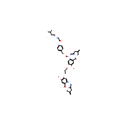 C=C1C[C@H]2C=Nc3cc(OCCCOc4cc5c(cc4OC)C(=O)N4CC(=C)C[C@H]4[C@H](O)N5C(=O)OCc4ccc(NC(=O)[C@H](C)NC(=O)C(N)C(C)C)cc4)c(OC)cc3C(=O)N2C1